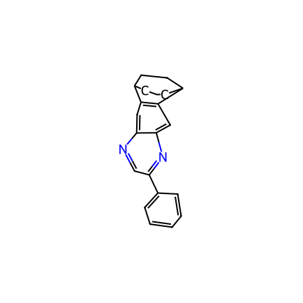 c1ccc(-c2cnc3cc4c(cc3n2)C2CCCC4CC2)cc1